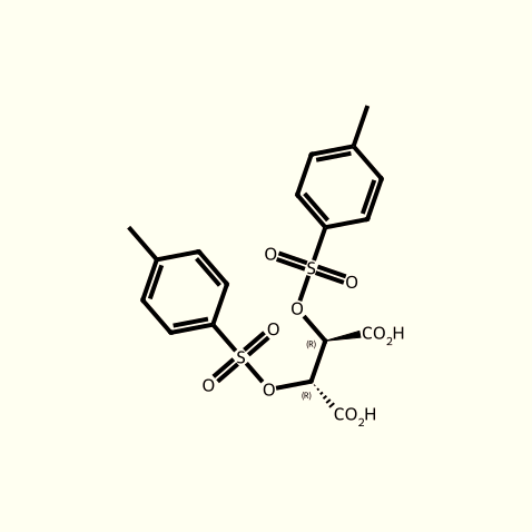 Cc1ccc(S(=O)(=O)O[C@@H](C(=O)O)[C@@H](OS(=O)(=O)c2ccc(C)cc2)C(=O)O)cc1